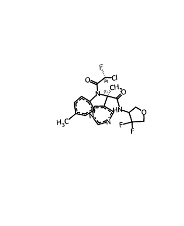 Cc1ccc(N(C(=O)[C@H](F)Cl)[C@@](C)(C(=O)NC2COCC2(F)F)c2cncnc2)cc1